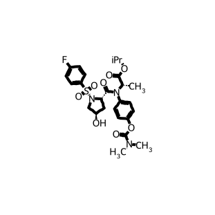 CC(C)OC(=O)[C@H](C)N(C(=O)[C@@H]1C[C@@H](O)CN1S(=O)(=O)c1ccc(F)cc1)c1ccc(OC(=O)N(C)C)cc1